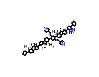 CC1(C)c2cc(-c3ccccc3)ccc2-c2ccc(-c3ccc4c(c3)C(C)(C)c3cc(-c5cc(/C=C/c6ccncc6)c(-c6ccc7c(c6)C(C)(C)c6cc(-c8ccc(-c9ccccc9)c9nsnc89)ccc6-7)cc5/C=C/c5ccncc5)ccc3-4)cc21